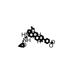 C=C(C)[C@@H]1CC[C@]2(NCCNC[C@H]3OCC4CC43)CC[C@]3(C)[C@H](CC[C@@H]4[C@@]5(C)CC=C(C6=CC[C@@H](C(=O)OC)CC6)C(C)(C)[C@@H]5CC[C@]43C)[C@@H]12